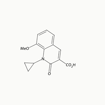 COc1cccc2cc(C(=O)O)c(=O)n(C3CC3)c12